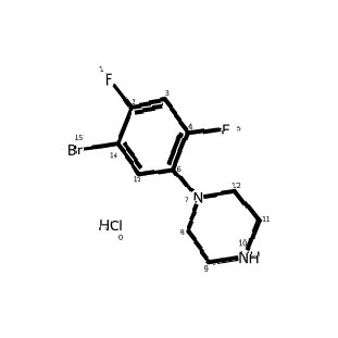 Cl.Fc1cc(F)c(N2CCNCC2)cc1Br